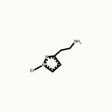 CCn1ccc(CCN)n1